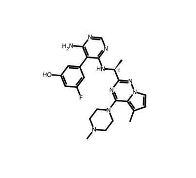 Cc1ccn2nc([C@H](C)Nc3ncnc(N)c3-c3cc(O)cc(F)c3)nc(N3CCN(C)CC3)c12